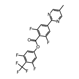 Cc1cnc(-c2cc(F)c(C(=O)Oc3cc(F)c(C(F)(F)F)c(F)c3)c(F)c2)nc1